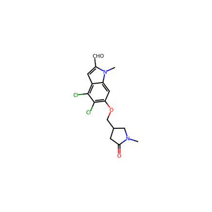 CN1CC(COc2cc3c(cc(C=O)n3C)c(Cl)c2Cl)CC1=O